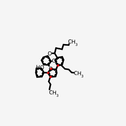 CCCCCC(Oc1ccc(O)c(OC(CCCCC)c2ccccc2)c1OC(CCCCC)c1ccccc1)c1ccccc1